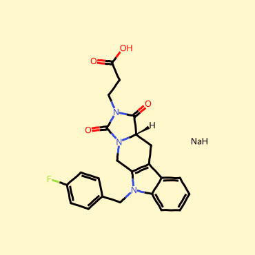 O=C(O)CCN1C(=O)[C@@H]2Cc3c(n(Cc4ccc(F)cc4)c4ccccc34)CN2C1=O.[NaH]